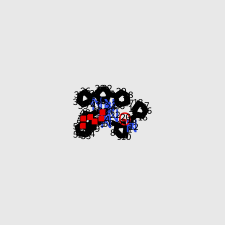 c1ccc(-c2nc(-c3cccc4nc(-c5ccccc5)oc34)nc(-n3c4ccccc4c4ccc5c6ccccc6n(-c6cccc7c6ccc6ccccc67)c5c43)n2)cc1